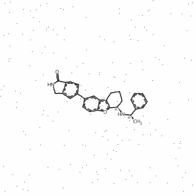 C[C@@H](N[C@@H]1CCCc2c1oc1ccc(-c3ccc4c(c3)CNC4=O)cc21)c1ccccc1